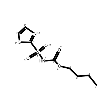 CCCCOC(=O)NS(=O)(=O)c1nccs1